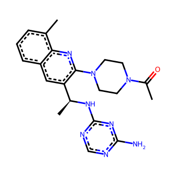 CC(=O)N1CCN(c2nc3c(C)cccc3cc2[C@H](C)Nc2ncnc(N)n2)CC1